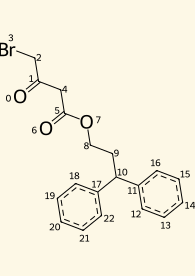 O=C(CBr)CC(=O)OCCC(c1ccccc1)c1ccccc1